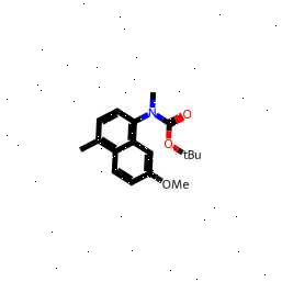 COc1ccc2c(C)ccc(N(C)C(=O)OC(C)(C)C)c2c1